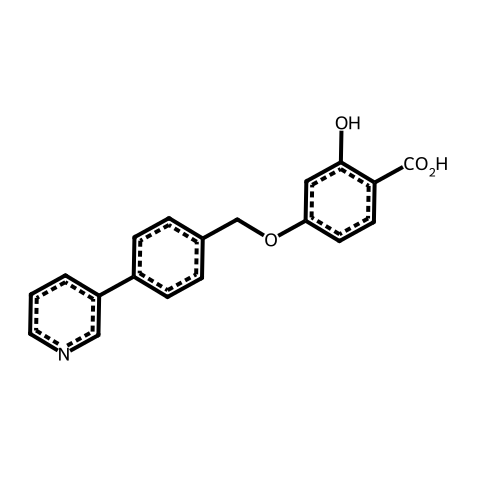 O=C(O)c1ccc(OCc2ccc(-c3cccnc3)cc2)cc1O